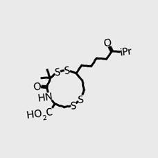 CC(C)C(=O)CCCCC1CCSSCC(C(=O)O)NC(=O)C(C)(C)SS1